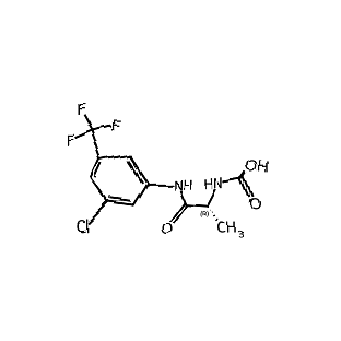 C[C@@H](NC(=O)O)C(=O)Nc1cc(Cl)cc(C(F)(F)F)c1